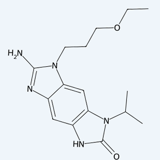 CCOCCCn1c(N)nc2cc3[nH]c(=O)n(C(C)C)c3cc21